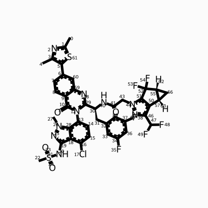 Cc1nc(C)c(-c2ccc3c(=O)n(-c4ccc(Cl)c5c(NS(C)(=O)=O)nn(C)c45)c([C@H](Cc4cc(F)cc(F)c4)NC(=O)Cn4nc(C(F)F)c5c4C(F)(F)[C@@H]4C[C@H]54)nc3c2)s1